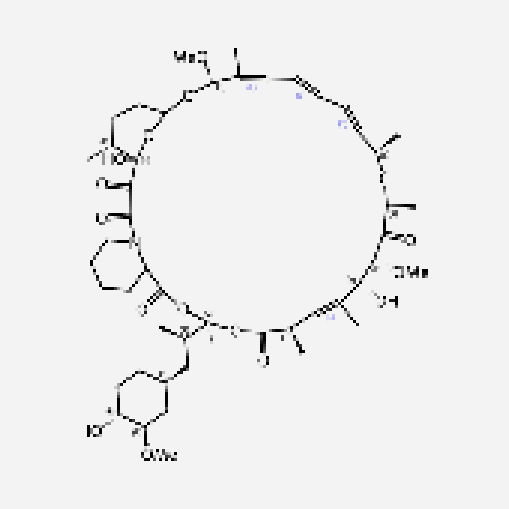 CO[C@H]1CC2CC[C@@H](C)[C@@](O)(O2)C(=O)C(=O)N2CCCCC2C(=O)O[C@](C)([C@H](C)C[C@@H]2CC[C@@H](O)[C@H](OC)C2)CC(=O)[C@H](C)/C=C(\C)[C@@H](O)[C@@H](OC)C(=O)[C@H](C)C[C@H](C)/C=C/C=C/C=C/1C